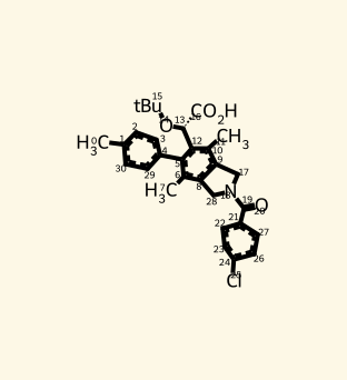 Cc1ccc(-c2c(C)c3c(c(C)c2[C@H](OC(C)(C)C)C(=O)O)CN(C(=O)c2ccc(Cl)cc2)C3)cc1